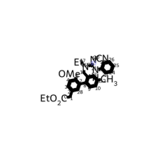 CCOC(=O)Cc1ccc(OC)c(-c2ccc(C)cc2CN(CC)/C(=N/C#N)Nc2ccccc2)c1